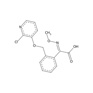 CO/N=C(/C(=O)O)c1ccccc1COc1cccnc1Cl